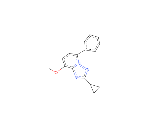 COc1ccc(-c2ccccc2)n2nc(C3CC3)nc12